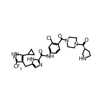 O=C(Nc1ccc(C(=O)N2CCN(C(=O)[C@H]3CCNC3)CC2)c(Cl)c1)c1ncc(Cc2c(C(F)(F)F)n[nH]c2C2CC2)[nH]1